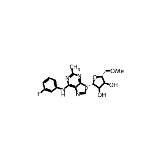 COC[C@H]1O[C@@H](n2cnc3c(Nc4cccc(F)c4)nc(C)nc32)C(O)C1O